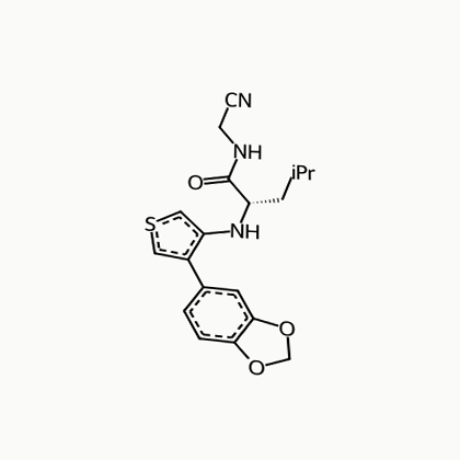 CC(C)C[C@H](Nc1cscc1-c1ccc2c(c1)OCO2)C(=O)NCC#N